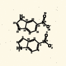 O=[N+]([O-])c1ccc2[nH]ccc2c1.O=[N+]([O-])c1ccc2nc[nH]c2c1